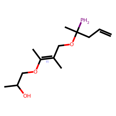 C=CCC(C)(P)OC/C(C)=C(\C)OCC(C)O